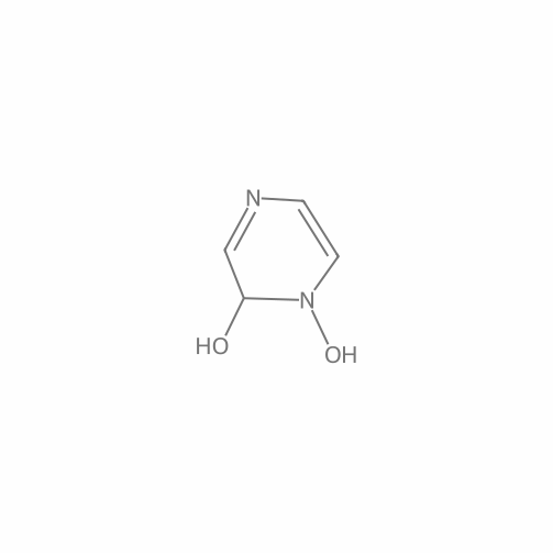 OC1C=NC=CN1O